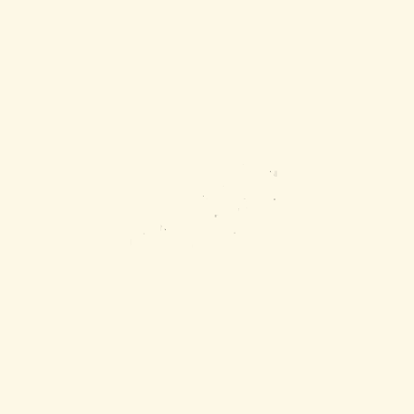 C=NC[C@@H]1CC2CNC[C@H]2C1